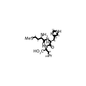 CSCC[C@H](N)C(=O)N[C@@H](Cc1c[nH]cn1)C(=O)N[C@@H](CC(C)C)C(=O)O